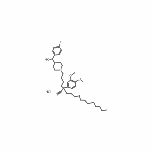 CCCCCCCCCCCCC(C#N)(CCCCN1CCC(C(O)c2ccc(F)cc2)CC1)c1ccc(OC)c(OC)c1.Cl